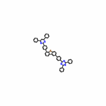 c1ccc(-c2cc(-c3ccccc3)nc(-c3ccc(-c4cccc5c4sc4ccc(-c6ccc(-c7nc(-c8ccccc8)nc(-c8ccccc8)n7)cc6)cc45)cc3)n2)cc1